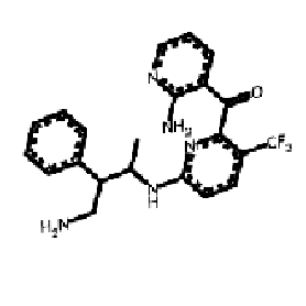 CC(Nc1ccc(C(F)(F)F)c(C(=O)c2cccnc2N)n1)C(CN)c1ccccc1